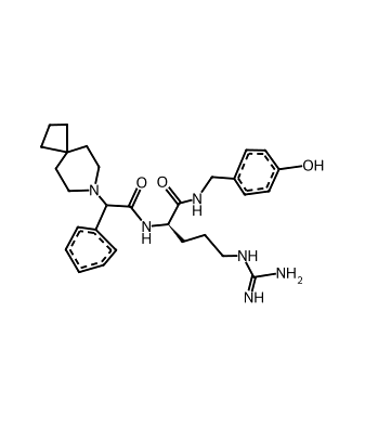 N=C(N)NCCC[C@@H](NC(=O)C(c1ccccc1)N1CCC2(CCC2)CC1)C(=O)NCc1ccc(O)cc1